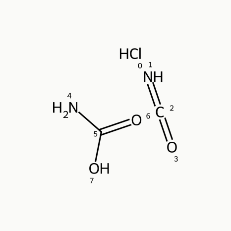 Cl.N=C=O.NC(=O)O